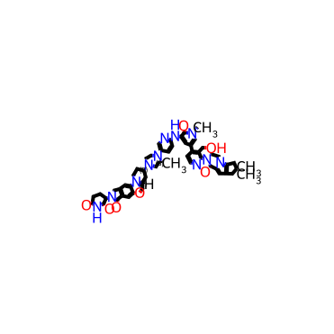 C[C@H]1CN([C@@H]2CCN3c4cc5c(cc4OC[C@H]3C2)C(=O)N(C2CCC(=O)NC2=O)C5)CCN1c1ccc(Nc2cc(-c3ccnc(N4CCn5c(cc6c5CC(C)(C)C6)C4=O)c3CO)cn(C)c2=O)nc1